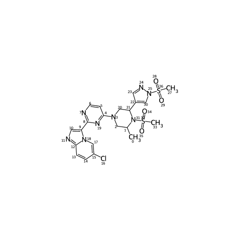 CC1CN(c2ccnc(-c3cnc4ccc(Cl)cn34)n2)CC(c2cnn(S(C)(=O)=O)c2)N1S(C)(=O)=O